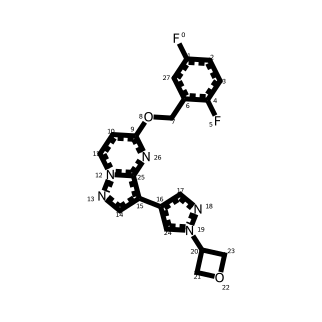 Fc1ccc(F)c(COc2ccn3ncc(-c4cnn(C5COC5)c4)c3n2)c1